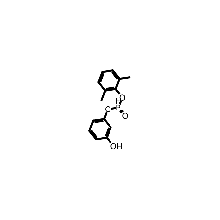 Cc1cccc(C)c1O[PH](=O)Oc1cccc(O)c1